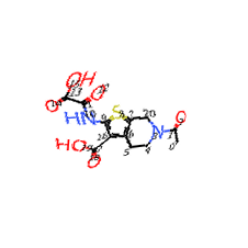 CC(=O)N1CCc2c(sc(NC(=O)C(=O)O)c2C(=O)O)C1